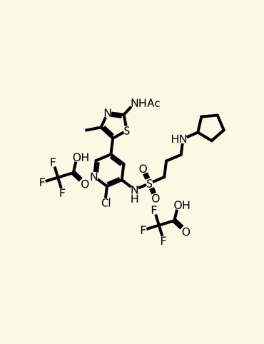 CC(=O)Nc1nc(C)c(-c2cnc(Cl)c(NS(=O)(=O)CCCNC3CCCC3)c2)s1.O=C(O)C(F)(F)F.O=C(O)C(F)(F)F